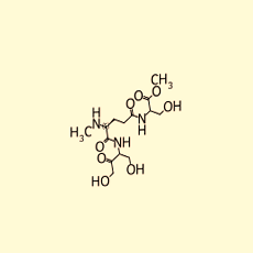 CN[C@@H](CCC(=O)NC(CO)C(=O)OC)C(=O)NC(CO)C(=O)CO